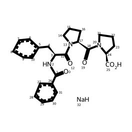 O=C(N[C@@H](Cc1ccccc1)C(=O)N1CCC[C@H]1C(=O)N1CCC[C@H]1C(=O)O)c1ccccc1.[NaH]